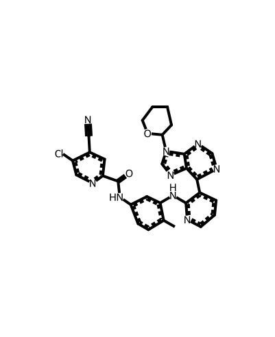 Cc1ccc(NC(=O)c2cc(C#N)c(Cl)cn2)cc1Nc1ncccc1-c1ncnc2c1ncn2C1CCCCO1